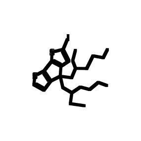 CCCCC(CC)CC1(CC(CC)CCCC)c2ccsc2-c2sc(I)cc21